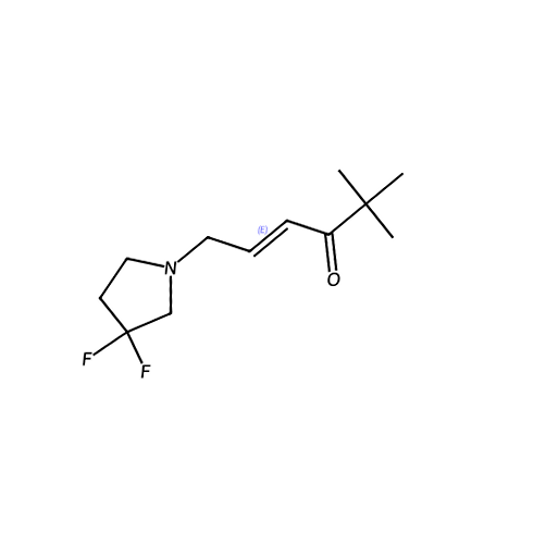 CC(C)(C)C(=O)/C=C/CN1CCC(F)(F)C1